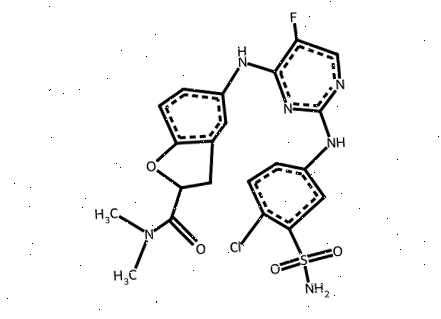 CN(C)C(=O)C1Cc2cc(Nc3nc(Nc4ccc(Cl)c(S(N)(=O)=O)c4)ncc3F)ccc2O1